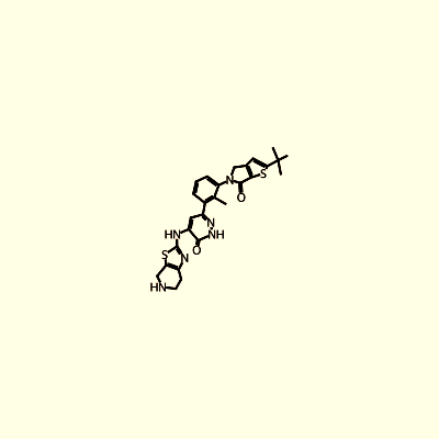 Cc1c(-c2cc(Nc3nc4c(s3)CNCC4)c(=O)[nH]n2)cccc1N1Cc2cc(C(C)(C)C)sc2C1=O